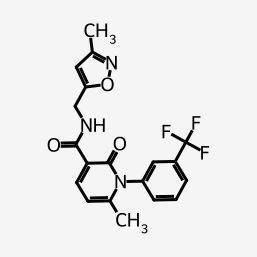 Cc1cc(CNC(=O)c2ccc(C)n(-c3cccc(C(F)(F)F)c3)c2=O)on1